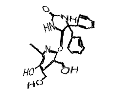 Cc1ncc(CO)c(CO)c1O.O=C1NC(=O)C(c2ccccc2)(c2ccccc2)N1